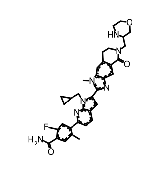 Cc1cc(C(N)=O)c(F)cc1-c1ccc2cc(-c3nc4cc5c(cc4n3C)CCN(CC3COCCN3)C5=O)n(CC3CC3)c2n1